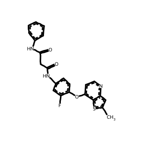 Cc1cc2nccc(Oc3ccc(NC(=O)CC(=O)Nc4ccccc4)cc3F)c2s1